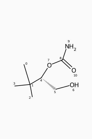 CC(C)(C)[C@@H](CO)OC(N)=O